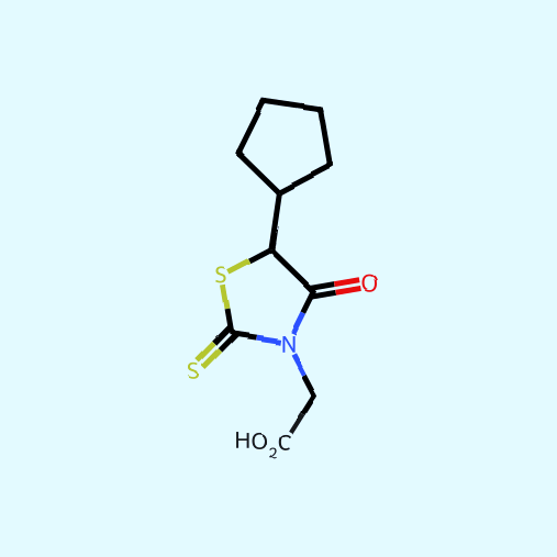 O=C(O)CN1C(=O)C(C2CCCC2)SC1=S